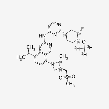 [2H]C([2H])([2H])O[C@@H]1CC[C@H](c2nccc(Nc3cc4c(C(C)C)ccc(N5C[C@H](CS(C)(=O)=O)[C@H]5C)c4cn3)n2)C[C@@H]1F